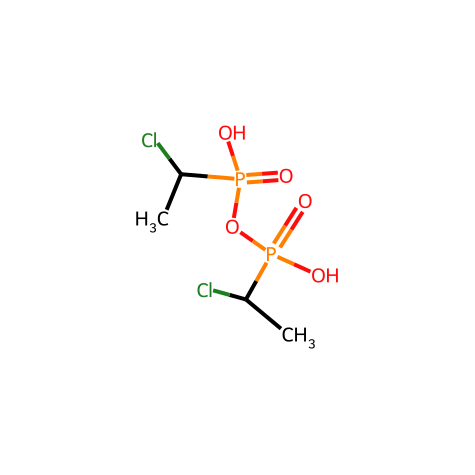 CC(Cl)P(=O)(O)OP(=O)(O)C(C)Cl